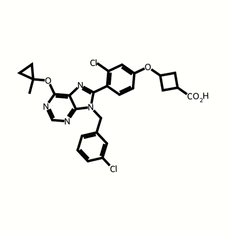 CC1(Oc2ncnc3c2nc(-c2ccc(OC4CC(C(=O)O)C4)cc2Cl)n3Cc2cccc(Cl)c2)CC1